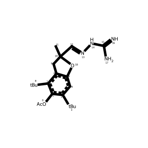 CC(=O)Oc1c(C(C)(C)C)cc2c(c1C(C)(C)C)CC(C)(C=NNC(=N)N)O2